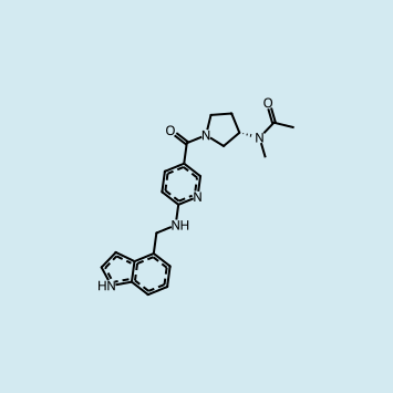 CC(=O)N(C)[C@H]1CCN(C(=O)c2ccc(NCc3cccc4[nH]ccc34)nc2)C1